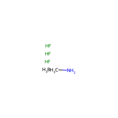 B.CN.F.F.F